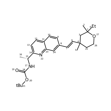 CCC1(C)CC(C)(/C=C/c2ccc3ccc([C@@H](C)NC(=O)OC(C)(C)C)nc3c2)CCO1